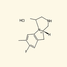 Cc1cc2c(cc1F)C[C@H]1CNCC(C)N21.Cl